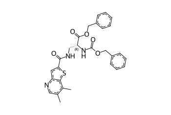 Cc1cnc2cc(C(=O)NC[C@@H](NC(=O)OCc3ccccc3)C(=O)OCc3ccccc3)sc2c1C